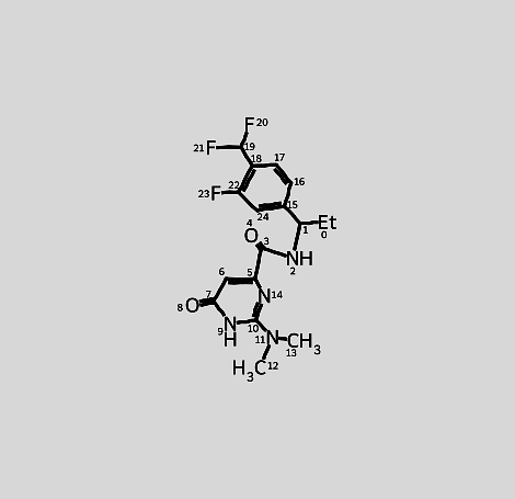 CCC(NC(=O)c1cc(=O)[nH]c(N(C)C)n1)c1ccc(C(F)F)c(F)c1